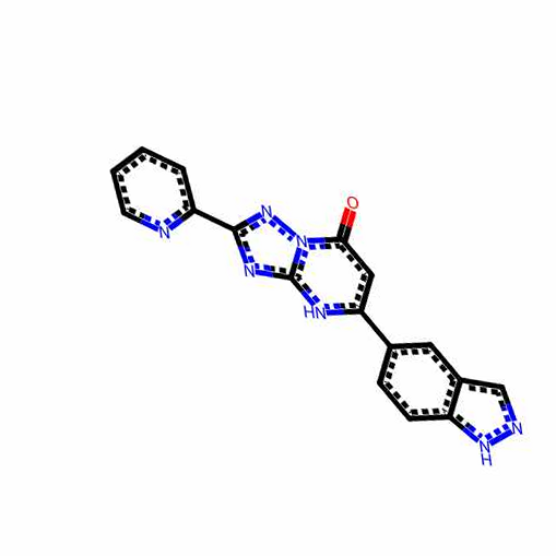 O=c1cc(-c2ccc3[nH]ncc3c2)[nH]c2nc(-c3ccccn3)nn12